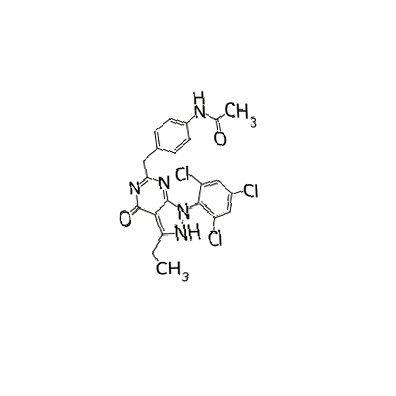 CCc1[nH]n(-c2c(Cl)cc(Cl)cc2Cl)c2nc(Cc3ccc(NC(C)=O)cc3)nc(=O)c1-2